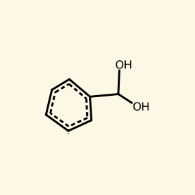 OC(O)c1c[c]ccc1